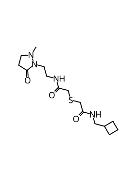 CN1CCC(=O)N1CCNC(=O)CSCC(=O)NCC1CCC1